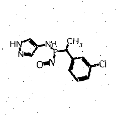 CC(c1cccc(Cl)c1)P(N=O)Nc1cn[nH]c1